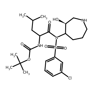 CC(C)CC(NC(=O)OC(C)(C)C)C(=O)N(C1CCCNC[C@@H]1O)S(=O)(=O)c1cccc(Cl)c1